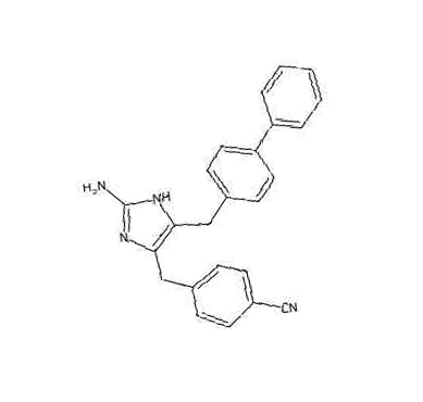 N#Cc1ccc(Cc2nc(N)[nH]c2Cc2ccc(-c3ccccc3)cc2)cc1